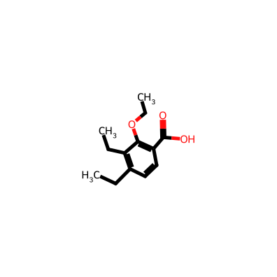 CCOc1c(C(=O)O)ccc(CC)c1CC